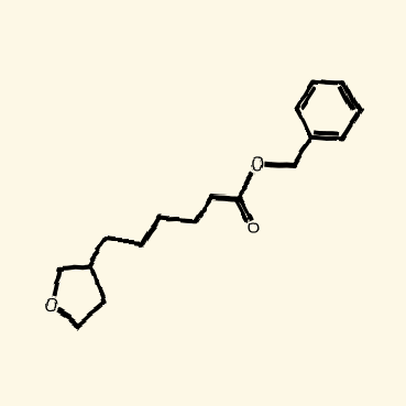 O=C(CCCCCC1CCOC1)OCc1ccccc1